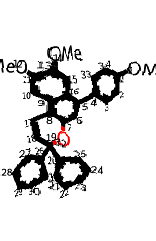 COc1ccc(-c2cc3c(c4cc(OC)c(OC)cc24)C=CC(c2ccccc2)(c2ccccc2)O3)cc1